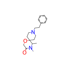 CC1N(C)C(=O)COC12CCN(CCc1ccccc1)CC2